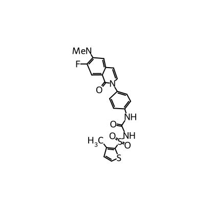 CNc1cc2ccn(-c3ccc(NC(=O)NS(=O)(=O)c4sccc4C)cc3)c(=O)c2cc1F